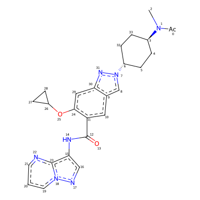 CC(=O)N(C)[C@H]1CC[C@H](n2cc3cc(C(=O)Nc4cnn5cccnc45)c(OC4CC4)cc3n2)CC1